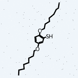 CCCCCCCCOc1ccc(OCCCCCCCC)c(S)c1